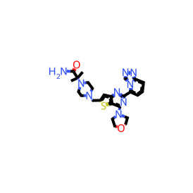 CC(C)(C(N)=O)N1CCN(Cc2cc3nc(-c4cccc5nncn45)nc(N4CCOCC4)c3s2)CC1